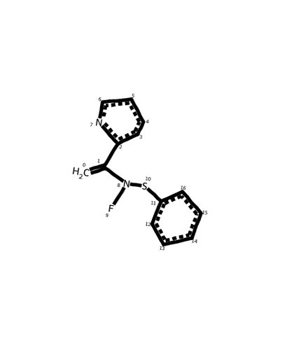 C=C(c1ccccn1)N(F)Sc1ccccc1